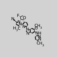 COc1cc2c(cc1Nc1ccc(C)nn1)ncn2-c1ccc([C@@H]2C[C@H](F)CO2)c(-n2nc(C#N)cc2C)n1